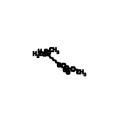 CCO[Si](C)(CCCCCCCCOc1ccc2cc(-c3ccc(CC)cc3)c(=O)oc2c1)OCC